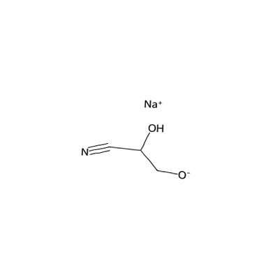 N#CC(O)C[O-].[Na+]